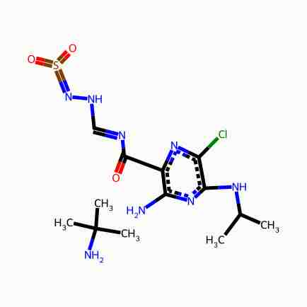 CC(C)(C)N.CC(C)Nc1nc(N)c(C(=O)N=CNN=S(=O)=O)nc1Cl